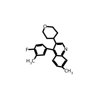 Cc1ccc2c(-c3ccc(F)c(C)c3)c(C3CCOCC3)cnc2c1